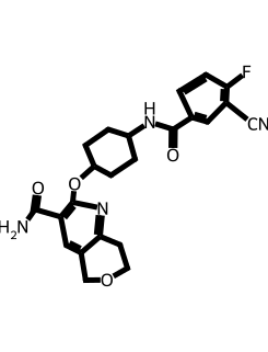 N#Cc1cc(C(=O)NC2CCC(Oc3nc4c(cc3C(N)=O)COCC4)CC2)ccc1F